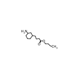 CCCCOC(=O)CCCC1CCCC(N)C1